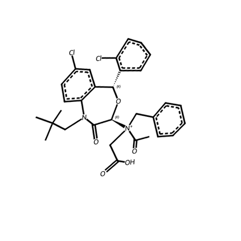 CC(=O)[N+](CC(=O)O)(Cc1ccccc1)[C@@H]1O[C@@H](c2ccccc2Cl)c2cc(Cl)ccc2N(CC(C)(C)C)C1=O